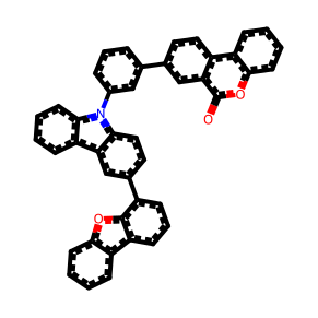 O=c1oc2ccccc2c2ccc(-c3cccc(-n4c5ccccc5c5cc(-c6cccc7c6oc6ccccc67)ccc54)c3)cc12